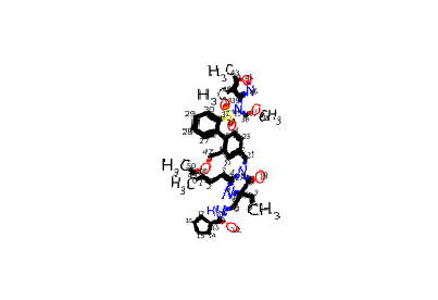 CCCCC1=NC(CC)(CNC(=O)C2CCCC2)C(=O)N1Cc1ccc(-c2ccccc2S(=O)(=O)N(COC)c2noc(C)c2C)c(COCC)c1